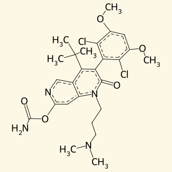 COc1cc(OC)c(Cl)c(-c2c(C(C)(C)C)c3cnc(OC(N)=O)cc3n(CCCN(C)C)c2=O)c1Cl